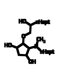 CCCCCCCC(O)COC1C(O)CC(O)C1N(C)CCCCCCC